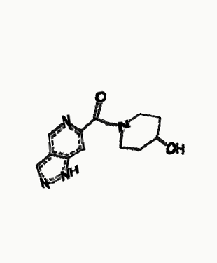 O=C(c1cc2[nH]ncc2cn1)N1CCC(O)CC1